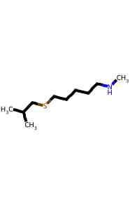 CNCCCCCSCC(C)C